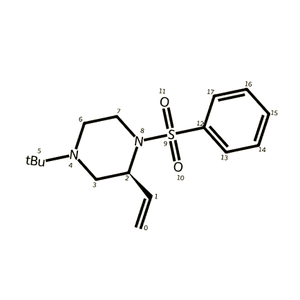 C=C[C@H]1CN(C(C)(C)C)CCN1S(=O)(=O)c1ccccc1